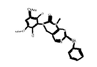 COc1cc(OC)c(Cl)c(N2Cc3cnc(Nc4ccccc4)nc3N(C)C2=O)c1Cl